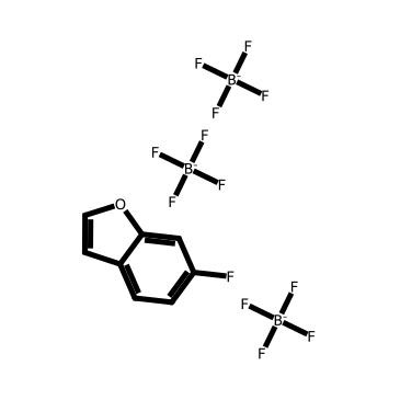 F[B-](F)(F)F.F[B-](F)(F)F.F[B-](F)(F)F.Fc1ccc2ccoc2c1